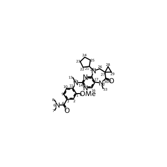 COc1cc(C(=O)N(C)C)ccc1N(C)c1ncc2c(n1)N(C1CCCC1)CC1(CC1)C(=O)N2C